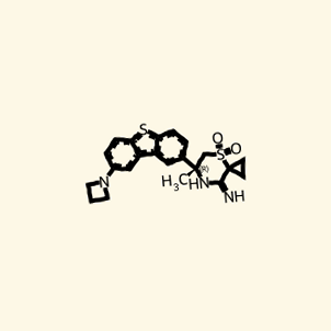 C[C@@]1(c2ccc3sc4ccc(N5CCC5)cc4c3c2)CS(=O)(=O)C2(CC2)C(=N)N1